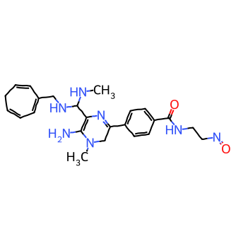 CNC(NCC1=CC=CCC=C1)C1=C(N)N(C)CC(c2ccc(C(=O)NCCN=O)cc2)=N1